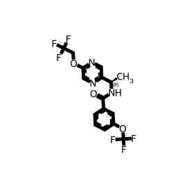 C[C@@H](NC(=O)c1cccc(OC(F)(F)F)c1)c1cnc(OCC(F)(F)F)cn1